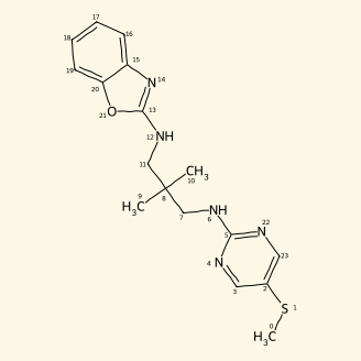 CSc1cnc(NCC(C)(C)CNc2nc3ccccc3o2)nc1